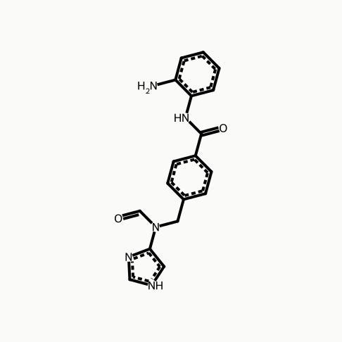 Nc1ccccc1NC(=O)c1ccc(CN(C=O)c2c[nH]cn2)cc1